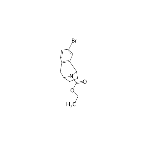 CCOC(=O)N1C2CCC1c1cc(Br)ccc1C2